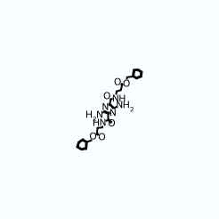 Nc1nc(C(=O)NCCC(=O)OCc2ccccc2)c(N)nc1C(=O)NCCC(=O)OCc1ccccc1